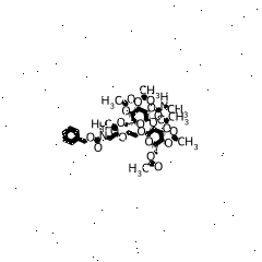 CNC(=O)O[C@@H]1[C@@H](O[C@@H]2C(OCCOCCNC(=O)OCc3ccccc3)O[C@@H](COC(C)=O)[C@@H](OC(C)=O)[C@@H]2OC(C)=O)O[C@H](COC(C)=O)[C@@H](OC(C)=O)[C@@H]1OC(C)=O